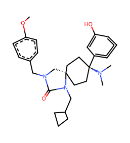 COc1ccc(CN2C[C@]3(CC[C@](C4=C=C=CC(O)=C4)(N(C)C)CC3)N(CC3CCC3)C2=O)cc1